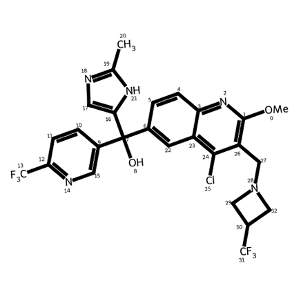 COc1nc2ccc(C(O)(c3ccc(C(F)(F)F)nc3)c3cnc(C)[nH]3)cc2c(Cl)c1CN1CC(C(F)(F)F)C1